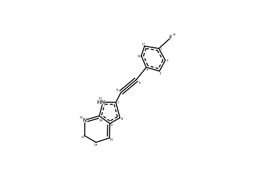 Fc1ccc(C#Cc2cc3c([nH]2)=NCCC=3)cc1